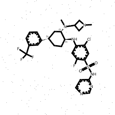 CN1CC(N(C)[C@H]2C[C@@H](c3cccc(C(F)(F)F)c3)CC[C@@H]2Nc2cc(F)c(S(=O)(=O)Nc3ccncn3)cc2Cl)C1